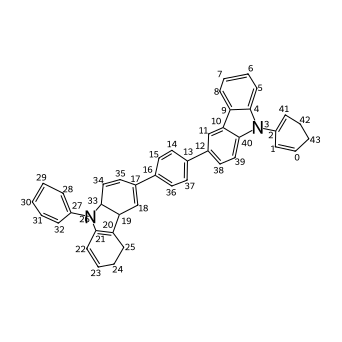 C1=CC(n2c3ccccc3c3cc(-c4ccc(C5=CC6C7=C(C=CCC7)N(c7ccccc7)C6C=C5)cc4)ccc32)=CCC1